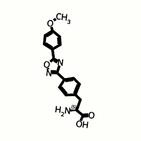 COc1ccc(-c2nc(-c3ccc(C[C@H](N)C(=O)O)cc3)no2)cc1